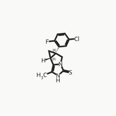 Cc1[nH]c(=S)n2c1[C@@H]1C[C@@]1(c1cc(Cl)ccc1F)C2